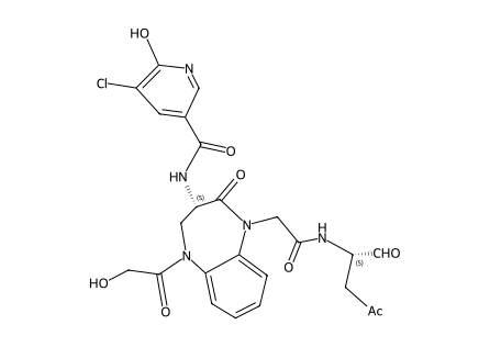 CC(=O)C[C@@H](C=O)NC(=O)CN1C(=O)[C@@H](NC(=O)c2cnc(O)c(Cl)c2)CN(C(=O)CO)c2ccccc21